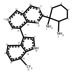 NC1CCCCC1(N)c1ncc2cncc(-c3c[nH]c4c(C(F)(F)F)cccc34)c2n1